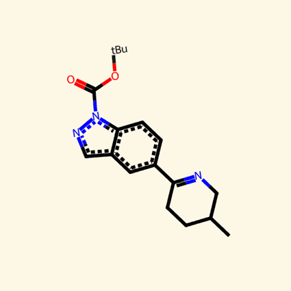 CC1CCC(c2ccc3c(cnn3C(=O)OC(C)(C)C)c2)=NC1